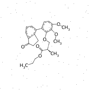 CCCOC(=O)[C@H](C)COc1c(-c2cccc3c2CCC3=O)ccc(OC)c1OC